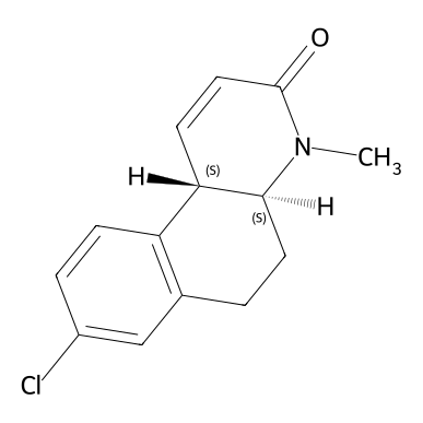 CN1C(=O)C=C[C@H]2c3ccc(Cl)cc3CC[C@@H]21